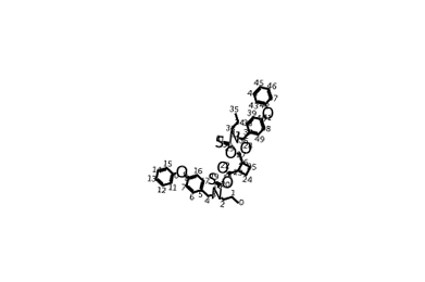 CCCN(Cc1ccc(Oc2ccccc2)cc1)C(=S)OC(=O)C1CCC1C(=O)OC(=S)N(CCC)Cc1ccc(Oc2ccccc2)cc1